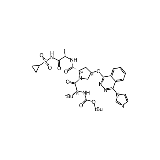 CC(NC(=O)[C@@H]1C[C@@H](Oc2nnc(-n3ccnc3)c3ccccc23)CN1C(=O)[C@@H](NC(=O)OC(C)(C)C)C(C)(C)C)C(=O)NS(=O)(=O)C1CC1